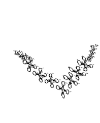 O=P([O-])([O-])[O-].O=P([O-])([O-])[O-].O=P([O-])([O-])[O-].O=P([O-])([O-])[O-].O=P([O-])([O-])[O-].O=P([O-])([O-])[O-].O=P([O-])([O-])[O-].[Al+3].[Al+3].[Al+3].[SiH4].[Ti+4].[Ti+4].[Ti+4]